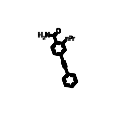 CCCc1cc(C#Cc2ccccc2)ccc1C(N)=O